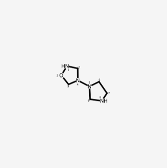 [CH]1NOCN1N1CCNC1